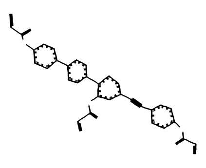 C=CC(=O)Oc1ccc(C#Cc2ccc(-c3ccc(-c4ccc(OC(=O)C=C)cc4)cc3)c(OC(=O)C=C)c2)cc1